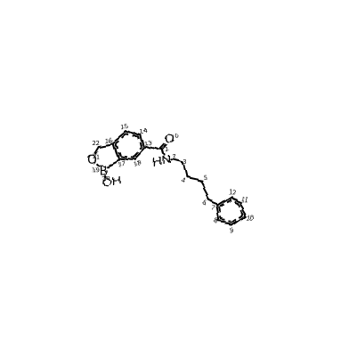 O=C(NCCCCc1ccccc1)c1ccc2c(c1)B(O)OC2